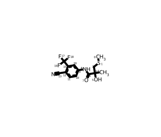 CSCC(C)(O)C(=O)Nc1ccc(C#N)c(C(F)(F)F)c1